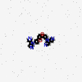 c1cc2c3ccncc3n(-c3ccc4oc5c(ccc6oc7ccc(-n8c9cnccc9c9ccncc98)cc7c65)c4c3)c2cn1